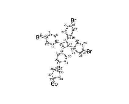 Brc1ccc(C2=C(c3ccc(Br)cc3)C(c3ccc(Br)cc3)=C2c2ccc(Br)cc2)cc1.[Co][C]1=CC=CC1